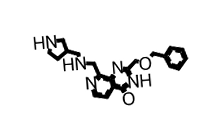 O=c1[nH]c(COCc2ccccc2)nc2c(CNCC3CCNC3)nccc12